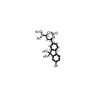 CCCC1(CCC)c2cc(Br)ccc2-c2ccc(/C(CC(C)N(OC(C)=O)C(C)=O)=N/OC(C)=O)cc21